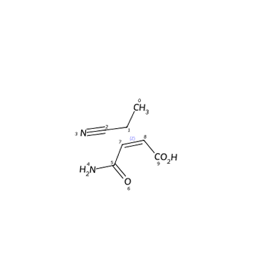 CCC#N.NC(=O)/C=C\C(=O)O